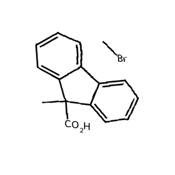 CBr.CC1(C(=O)O)c2ccccc2-c2ccccc21